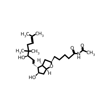 CC(=O)NC(=O)CCCC[C@@H]1C[C@@H]2[C@@H](C=C[C@@H](O)C(C)(C)CC=C(C)C)[C@H](O)C[C@@H]2O1